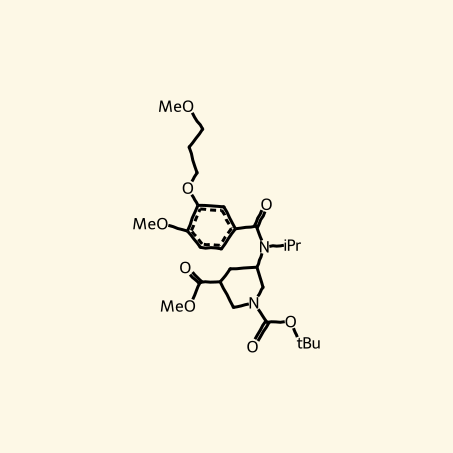 COCCCOc1cc(C(=O)N(C(C)C)C2CC(C(=O)OC)CN(C(=O)OC(C)(C)C)C2)ccc1OC